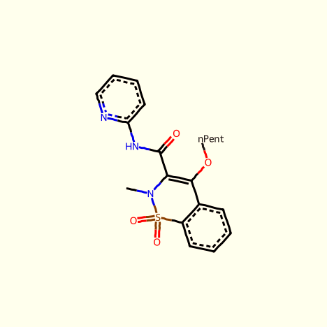 CCCCCOC1=C(C(=O)Nc2ccccn2)N(C)S(=O)(=O)c2ccccc21